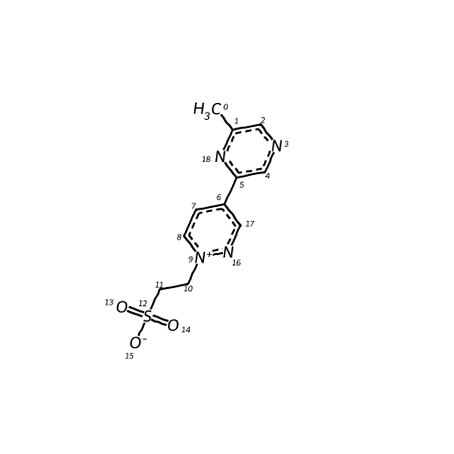 Cc1cncc(-c2cc[n+](CCS(=O)(=O)[O-])nc2)n1